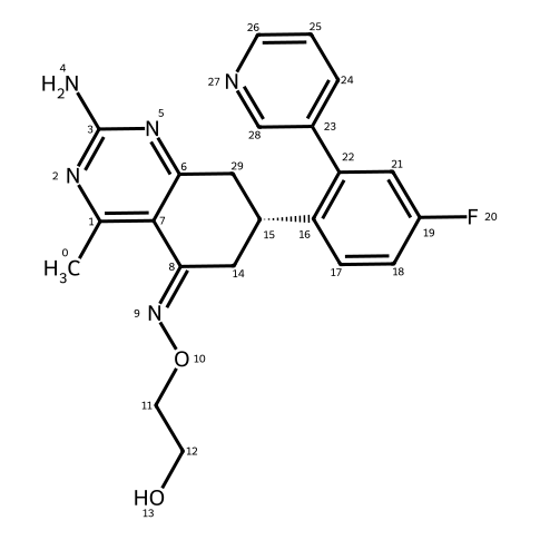 Cc1nc(N)nc2c1C(=NOCCO)C[C@@H](c1ccc(F)cc1-c1cccnc1)C2